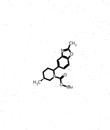 Cc1nc2cc(C3CC[C@H](C)CN3C(=O)OC(C)(C)C)ccc2o1